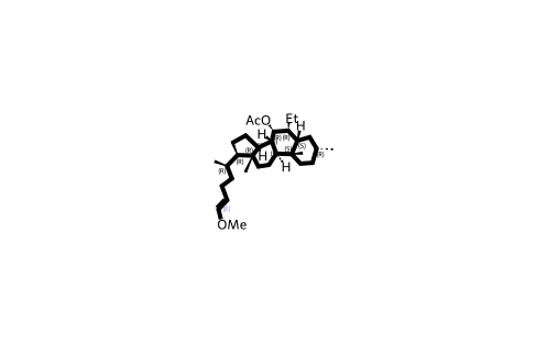 CC[C@H]1[C@@H](OC(C)=O)[C@@H]2[C@H](CC[C@]3(C)[C@@H]([C@H](C)CC/C=C/OC)CC[C@@H]23)[C@@]2(C)CC[C@@H](C)C[C@@H]12